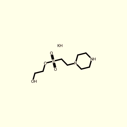 O=S(=O)(CCN1CCNCC1)OCCO.[KH]